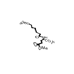 CCCCCCCCCCCCCCCC(=O)N[C@@H](CCC(=O)OC)C(=O)O